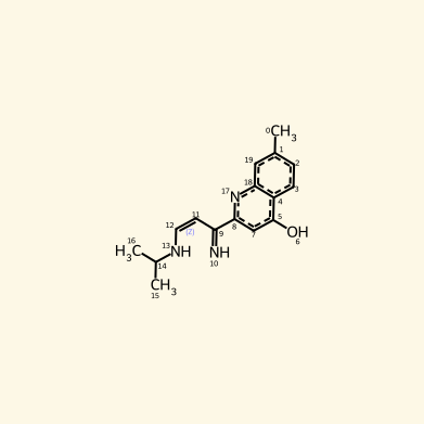 Cc1ccc2c(O)cc(C(=N)/C=C\NC(C)C)nc2c1